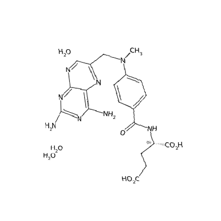 CN(Cc1cnc2nc(N)nc(N)c2n1)c1ccc(C(=O)N[C@@H](CCC(=O)O)C(=O)O)cc1.O.O.O